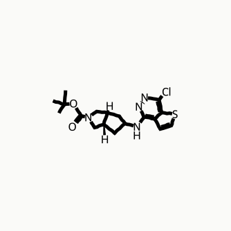 CC(C)(C)OC(=O)N1C[C@H]2CC(Nc3nnc(Cl)c4sccc34)C[C@H]2C1